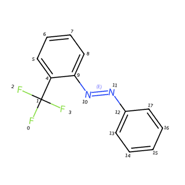 FC(F)(F)c1ccccc1/N=N/c1ccccc1